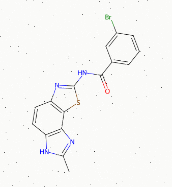 Cc1nc2c(ccc3nc(NC(=O)c4cccc(Br)c4)sc32)[nH]1